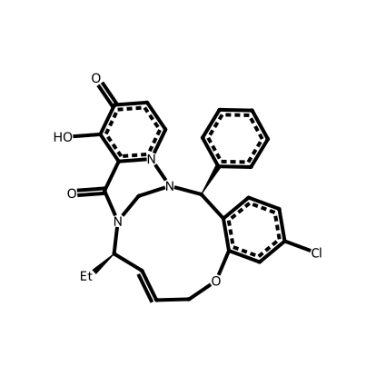 CC[C@@H]1/C=C/COc2cc(Cl)ccc2[C@H](c2ccccc2)N2CN1C(=O)c1c(O)c(=O)ccn12